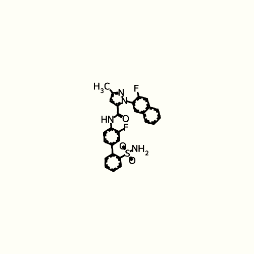 Cc1cc(C(=O)Nc2ccc(-c3ccccc3S(N)(=O)=O)cc2F)n(-c2cc3ccccc3cc2F)n1